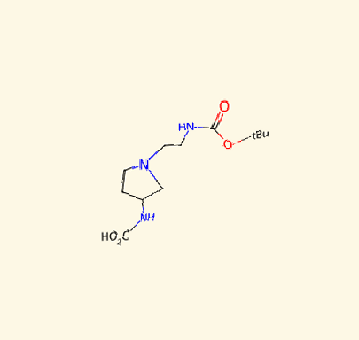 CC(C)(C)OC(=O)NCCN1CCC(NC(=O)O)C1